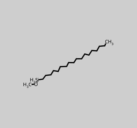 CCCCCCCCCCCCCCCCCC[SiH2]OC